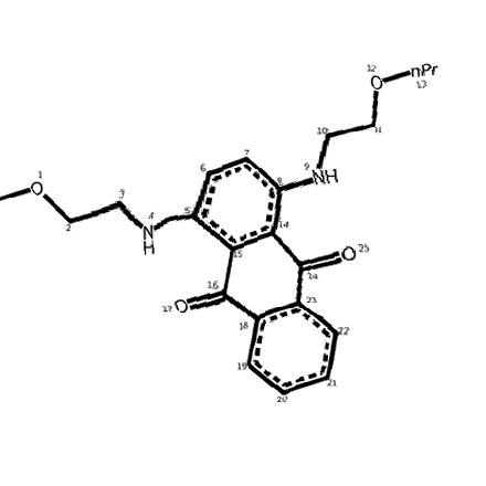 CCCOCCNc1ccc(NCCOCCC)c2c1C(=O)c1ccccc1C2=O